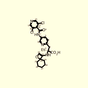 CC[C@@](Cc1ccc(NC(=O)c2c(Cl)cncc2Cl)cn1)(NC1=COC12CCCCC2)C(=O)O